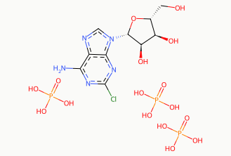 Nc1nc(Cl)nc2c1ncn2[C@@H]1O[C@H](CO)[C@@H](O)[C@H]1O.O=P(O)(O)O.O=P(O)(O)O.O=P(O)(O)O